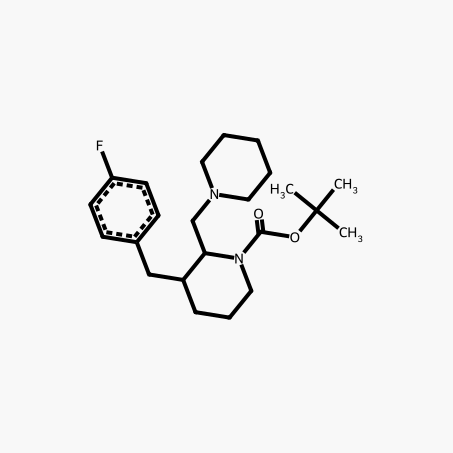 CC(C)(C)OC(=O)N1CCCC(Cc2ccc(F)cc2)C1CN1CCCCC1